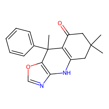 CC1(C)CC(=O)C2=C(C1)Nc1ncoc1C2(C)c1ccccc1